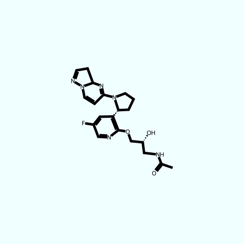 CC(=O)NC[C@@H](O)COc1ncc(F)cc1[C@H]1CCCN1C1=NC2CC=NN2C=C1